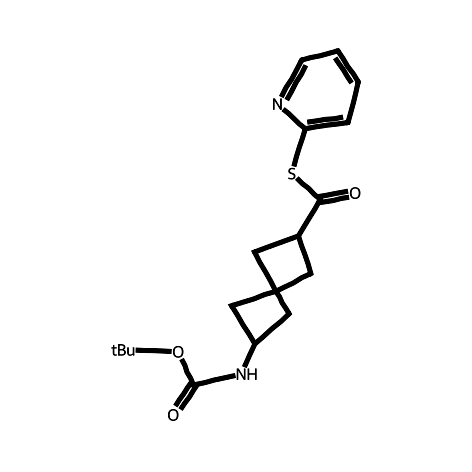 CC(C)(C)OC(=O)NC1CC2(C1)CC(C(=O)Sc1ccccn1)C2